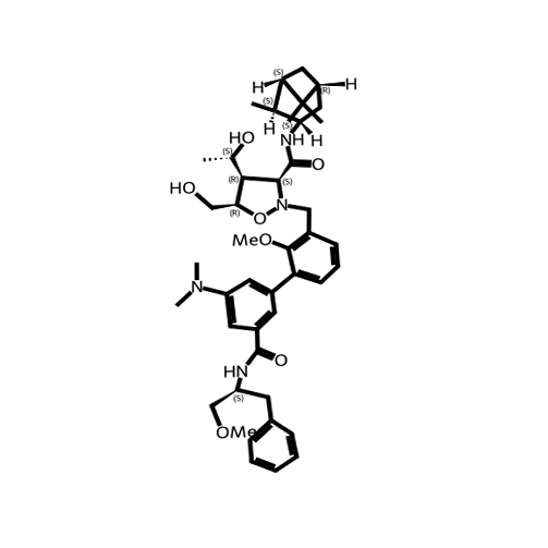 COC[C@H](Cc1ccccc1)NC(=O)c1cc(-c2cccc(CN3O[C@@H](CO)[C@@H]([C@H](C)O)[C@H]3C(=O)N[C@H]3C[C@H]4C[C@@H]([C@@H]3C)C4(C)C)c2OC)cc(N(C)C)c1